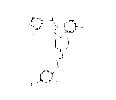 Cc1ccc2c(c1)C1(CCN(C/C=C/c3ccc(Cl)cc3Cl)CC1)CN2C(=O)c1ccnc(C)c1